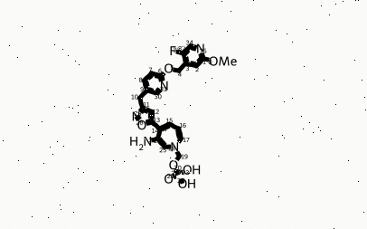 COc1cc(COc2ccc(Cc3cc(C4=CC=CN(COP(=O)(O)O)C=C4N)on3)cn2)c(F)cn1